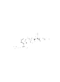 COC(=O)c1cccc(CN2CCC[C@@H](NC(=O)OC(C)(C)C)C2)n1